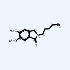 COc1cc2c(cc1OC)C(=O)N(CCCCBr)C2